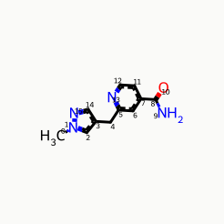 Cn1cc(Cc2cc(C(N)=O)ccn2)cn1